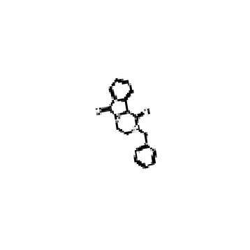 O=C1C2c3ccccc3C(=O)N2CCN1Cc1ccccc1